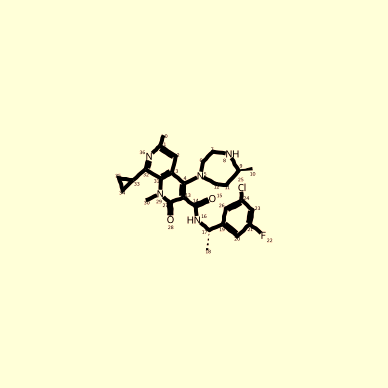 Cc1cc2c(N3CCN[C@@H](C)CC3)c(C(=O)N[C@@H](C)c3cc(F)cc(Cl)c3)c(=O)n(C)c2c(C2CC2)n1